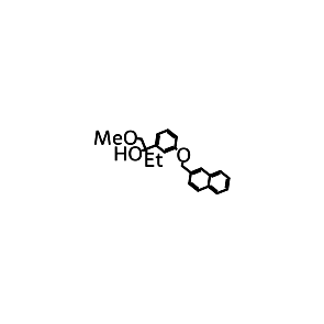 CCC(O)(COC)c1cccc(OCc2ccc3ccccc3c2)c1